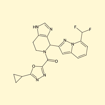 O=C(c1nnc(C2CC2)o1)N1CCc2[nH]cnc2C1c1cc2cccc(C(F)F)n2n1